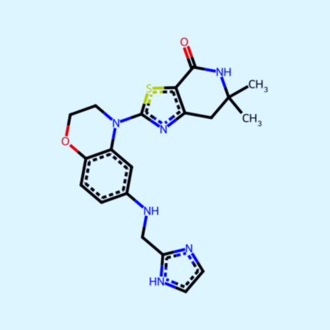 CC1(C)Cc2nc(N3CCOc4ccc(NCc5ncc[nH]5)cc43)sc2C(=O)N1